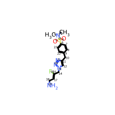 CN(C)S(=O)(=O)c1ccc(Cc2cn(C/C(F)=C/CN)nn2)cc1